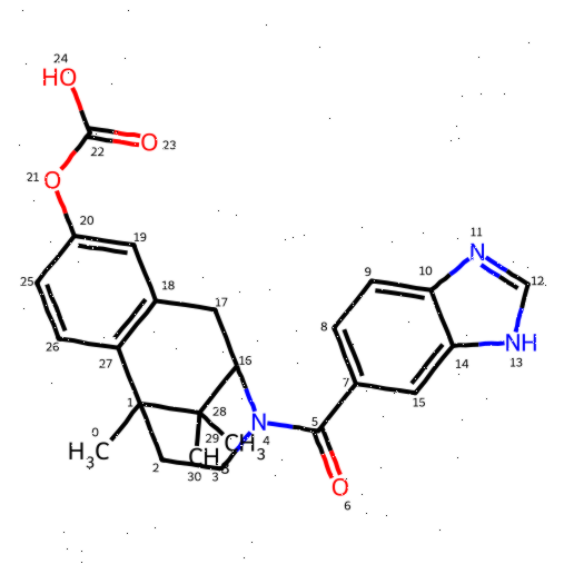 CC12CCN(C(=O)c3ccc4nc[nH]c4c3)C(Cc3cc(OC(=O)O)ccc31)C2(C)C